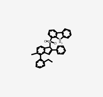 CCc1ccccc1-c1c(C)ccc2c1C=C(c1ccccc1)[CH]2[Zr]([Cl])([Cl])[c]1cccc2c1[SiH2]c1ccccc1-2